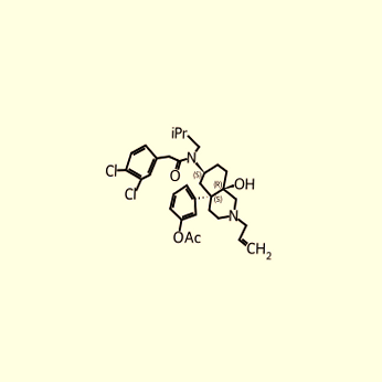 C=CCN1CC[C@@]2(c3cccc(OC(C)=O)c3)C[C@@H](N(CC(C)C)C(=O)Cc3ccc(Cl)c(Cl)c3)CC[C@]2(O)C1